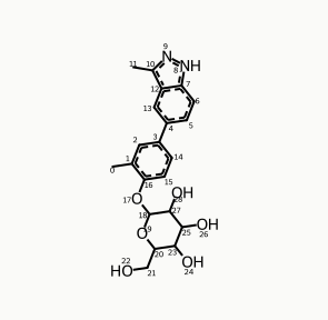 Cc1cc(-c2ccc3[nH]nc(C)c3c2)ccc1OC1OC(CO)C(O)C(O)C1O